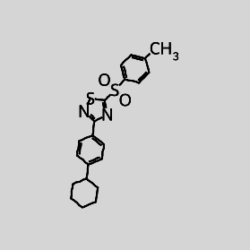 Cc1ccc(S(=O)(=O)c2nc(-c3ccc(C4CCCCC4)cc3)ns2)cc1